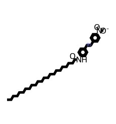 CCCCCCCCCCCCCCCCCCCCCCC(=O)Nc1ccc(/C=C/c2ccc([N+](=O)[O-])cc2)cc1